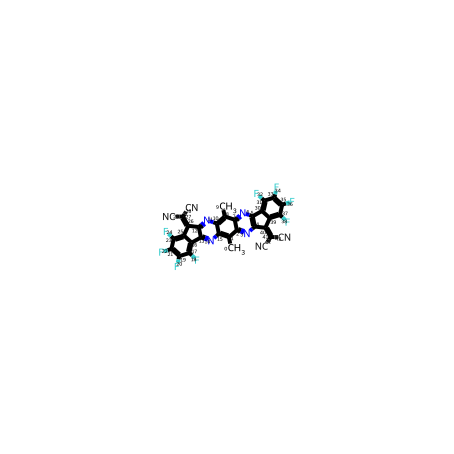 Cc1c2nc3c(nc2c(C)c2nc4c(nc12)-c1c(F)c(F)c(F)c(F)c1C4=C(C#N)C#N)-c1c(F)c(F)c(F)c(F)c1C3=C(C#N)C#N